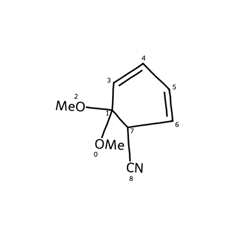 COC1(OC)C=CC=CC1C#N